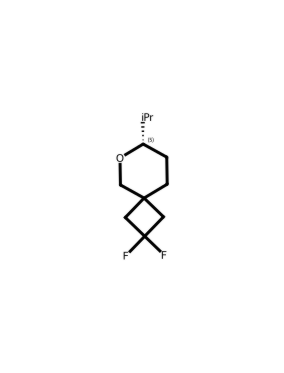 CC(C)[C@@H]1CCC2(CO1)CC(F)(F)C2